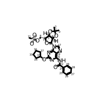 CC1(C)O[C@@H]2[C@H](O1)[C@@H](COS(C)(=O)=O)O[C@H]2n1cnc2c(NC(=O)c3ccccc3)nc(OC3CCCC3)nc21